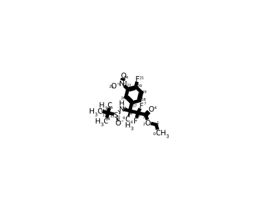 CCOC(=O)C(F)(F)[C@](C)(N[S@+]([O-])C(C)(C)C)c1ccc(F)c([N+](=O)[O-])c1